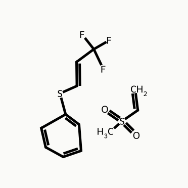 C=CS(C)(=O)=O.FC(F)(F)C=CSc1ccccc1